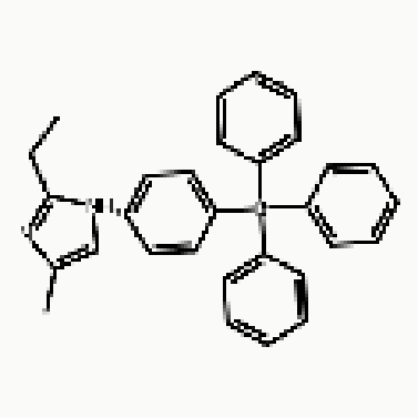 CCC1=NC(C)=C[NH2+]1.c1ccc([B-](c2ccccc2)(c2ccccc2)c2ccccc2)cc1